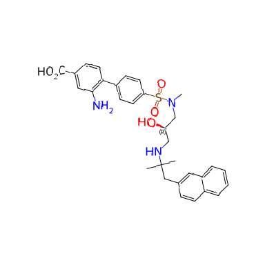 CN(C[C@H](O)CNC(C)(C)Cc1ccc2ccccc2c1)S(=O)(=O)c1ccc(-c2ccc(C(=O)O)cc2N)cc1